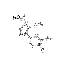 Cc1c(C(=O)O)cnn1-c1ccc(Cl)c(F)c1